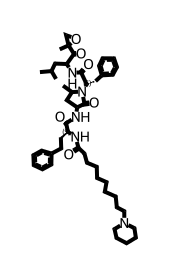 CC(C)CC(NC(=O)[C@H](Cc1ccccc1)N1C(=O)C(NC(=O)[C@H](CCc2ccccc2)NC(=O)CCCCCCCCCN2CCCCC2)CC1C)C(=O)C1(C)CO1